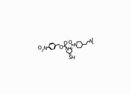 CN(C)CCC1CCN(C(=O)[C@@H]2C[C@H](S)CN2C(=O)OCc2ccc([N+](=O)[O-])cc2)CC1